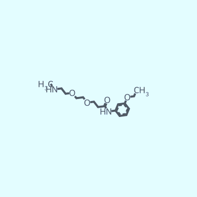 CCOc1cccc(NC(=O)CCOCCOCCNC)c1